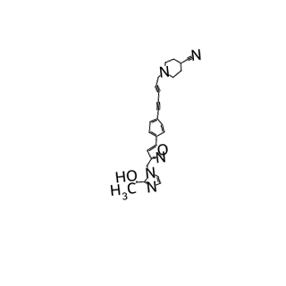 C[C@H](O)c1nccn1Cc1cc(-c2ccc(C#CC#CCN3CCC(C#N)CC3)cc2)on1